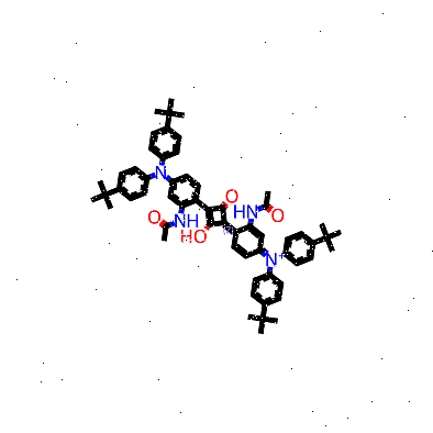 CC(=O)NC1=CC(=[N+](c2ccc(C(C)(C)C)cc2)c2ccc(C(C)(C)C)cc2)C=C/C1=C1/C(=O)C(c2ccc(N(c3ccc(C(C)(C)C)cc3)c3ccc(C(C)(C)C)cc3)cc2NC(C)=O)=C1O